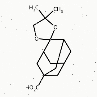 CC1(C)COC2(O1)C1CC3CC2CC(C(=O)O)(C3)C1